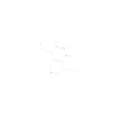 CCCCc1cc(=O)oc2c1c(=O)[nH]c(=O)n2CF